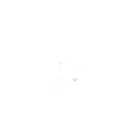 CC(C)C(NC(C)(C)CC1CCC1)C(=O)C(C)(C)CC1CCC1